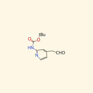 CC(C)(C)OC(=O)Nc1cc(CC=O)ccn1